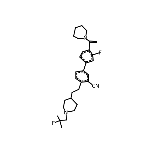 C=C(c1ccc(-c2ccc(CCC3CCN(CC(C)(C)F)CC3)c(C#N)c2)cc1F)N1CCCCC1